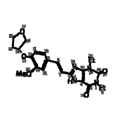 CCn1c(=O)c2[nH]c(/C=C/c3ccc(O[C@@H]4CCOC4)c(OC)c3)nc2n(CC)c1=O